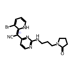 N#C/C(=C1/NC=CC=C1Br)c1ccnc(NCCCN2CCCC2=O)n1